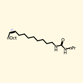 CCCCCCCC/C=C\CCCCCCCCNC(=O)NCCC